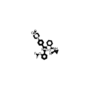 N#CC1(NC(=O)[C@@H]2CCCC[C@H]2c2oc(-c3ccccc3OC(F)F)nc2-c2ccc(N3CCS(=O)(=O)CC3)cc2)CC1